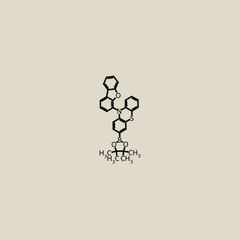 CC1(C)OB(c2ccc3c(c2)Sc2ccccc2N3c2cccc3c2oc2ccccc23)OC1(C)C